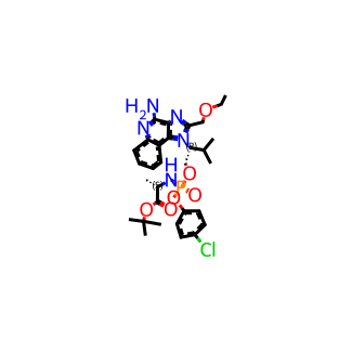 CCOCc1nc2c(N)nc3ccccc3c2n1[C@@H](COP(=O)(N[C@@H](C)C(=O)OC(C)(C)C)Oc1ccc(Cl)cc1)C(C)C